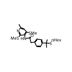 CCCCCCSC(C)(C)c1ccc(CC(=O)Nc2c(SC)cc(C)nc2SC)cc1